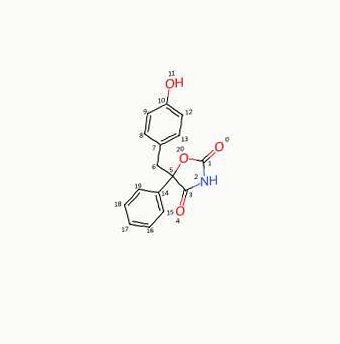 O=C1NC(=O)C(Cc2ccc(O)cc2)(c2ccccc2)O1